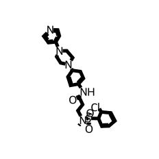 CN(CCC(=O)NC1=CCC(N2CCN(c3ccncc3)CC2)C=C1)S(=O)(=O)C1C=CC=CC1Cl